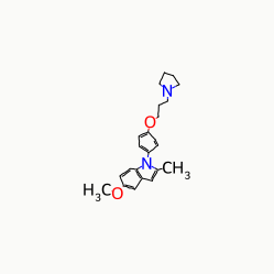 COc1ccc2c(c1)cc(C)n2-c1ccc(OCCCN2CCCC2)cc1